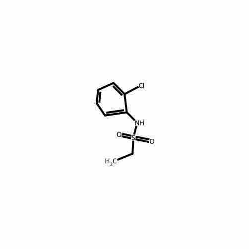 CCS(=O)(=O)Nc1c[c]ccc1Cl